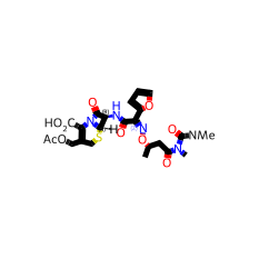 CNC(=O)N(C)C(=O)CC(C)O/N=C(\C(=O)N[C@@H]1C(=O)N2C(C(=O)O)=C(COC(C)=O)CS[C@H]12)c1ccco1